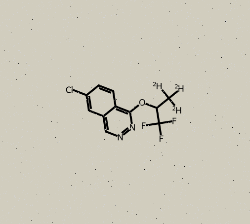 [2H]C([2H])([2H])C(Oc1nncc2cc(Cl)ccc12)C(F)(F)F